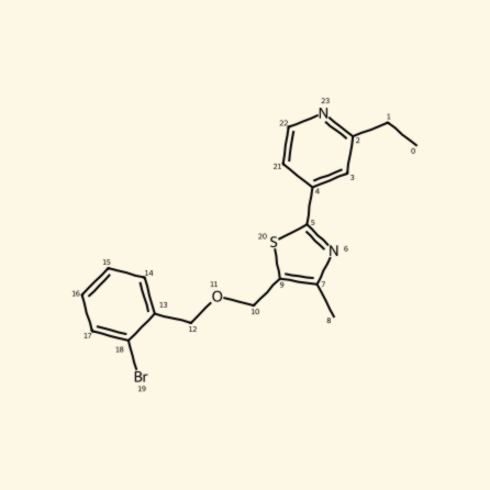 CCc1cc(-c2nc(C)c(COCc3ccccc3Br)s2)ccn1